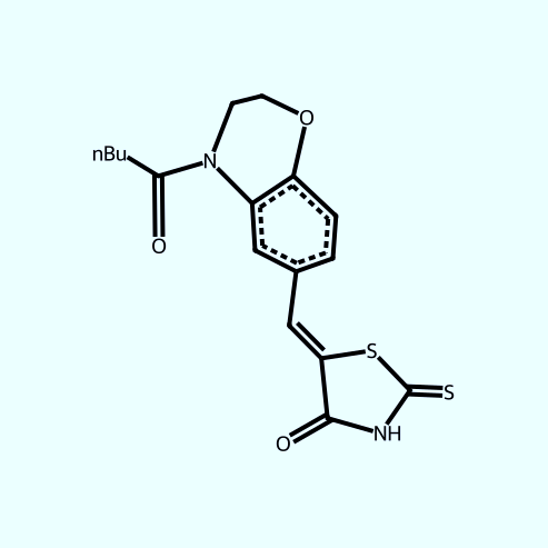 CCCCC(=O)N1CCOc2ccc(/C=C3\SC(=S)NC3=O)cc21